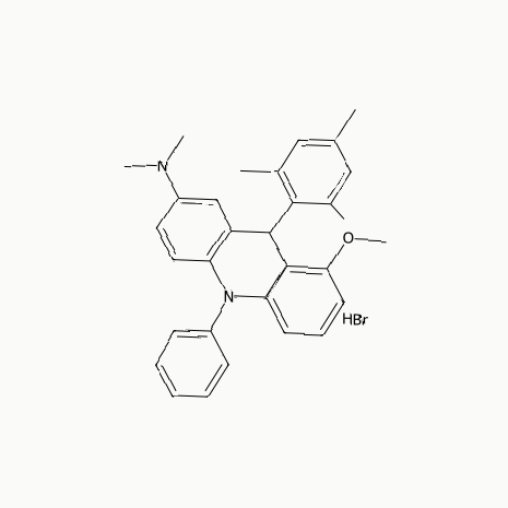 Br.COc1cccc2c1C(c1c(C)cc(C)cc1C)c1cc(N(C)C)ccc1N2c1ccccc1